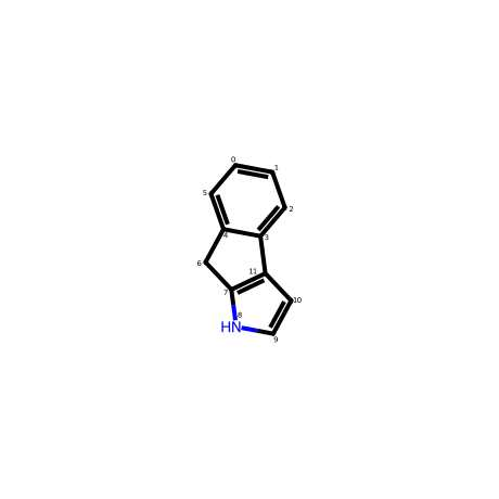 c1ccc2c(c1)Cc1[nH]ccc1-2